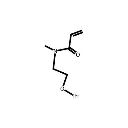 C=CC(=O)N(C)CCOC(C)C